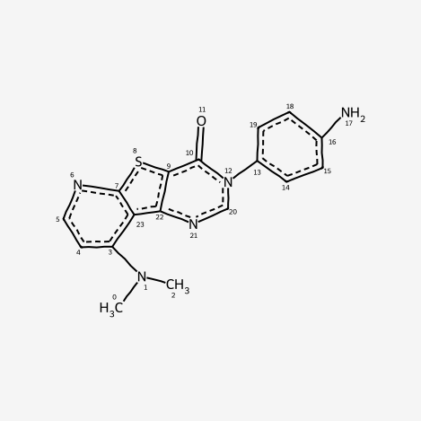 CN(C)c1ccnc2sc3c(=O)n(-c4ccc(N)cc4)cnc3c12